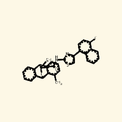 Cc1cccc2c1C1CC(C)(C(=O)Nc3nc(-c4ccc(F)c5ccccc45)cs3)C2c2ccccc21